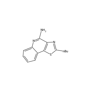 CCCCc1nc2c(N)nc3ccccc3c2s1